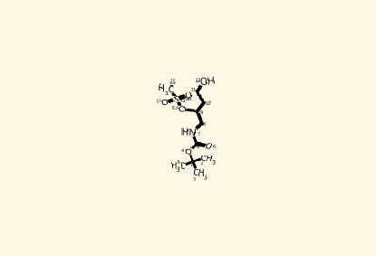 CC(C)(C)OC(=O)NCC(CCO)OS(C)(=O)=O